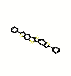 c1ccc(-c2cc3cc4c(cc3s2)sc2c3cc5cc(-c6ccccc6)sc5cc3sc42)cc1